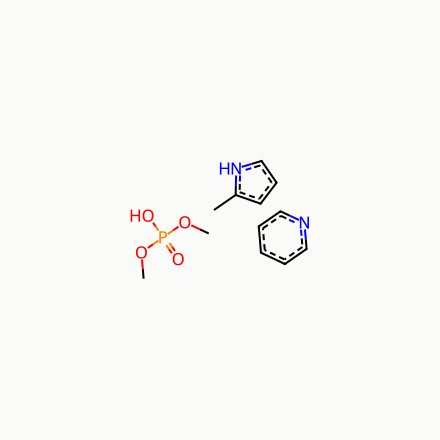 COP(=O)(O)OC.Cc1ccc[nH]1.c1ccncc1